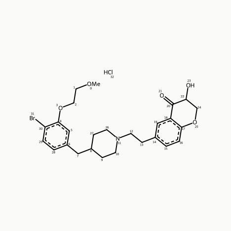 COCCOc1cc(CC2CCN(CCc3ccc4c(c3)C(=O)C(O)CO4)CC2)ccc1Br.Cl